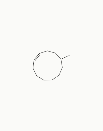 [CH2]C1CC/C=C\CCCCCC1